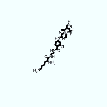 NCCCCC(N)C(=O)NCCNC(=O)c1ccc(Nc2nccn3c(-c4c[nH]nc4C(F)(F)F)cnc23)cc1Cl